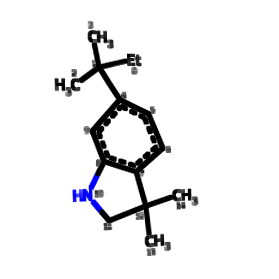 CCC(C)(C)c1ccc2c(c1)NCC2(C)C